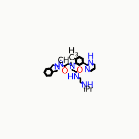 Cc1ccc(C2=NC=CCN2)cc1N(CC(=O)NCCNC(C)C)CC(=O)N(C)N1Cc2ccccc2C1